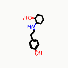 Oc1ccc(CCNC2CCCCC2O)cc1